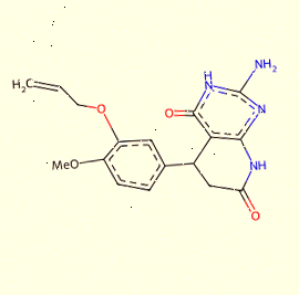 C=CCOc1cc(C2CC(=O)Nc3nc(N)[nH]c(=O)c32)ccc1OC